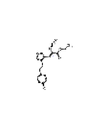 CCOC(=O)/C(=C/c1cscc1CCc1ccc(Cl)cc1)N=[N+]=[N-]